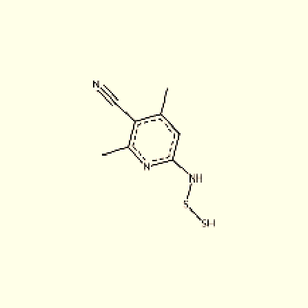 Cc1cc(NSS)nc(C)c1C#N